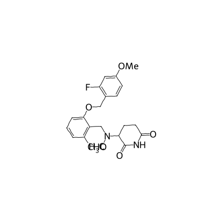 COc1ccc(COc2cccc(C=O)c2CN(C)C2CCC(=O)NC2=O)c(F)c1